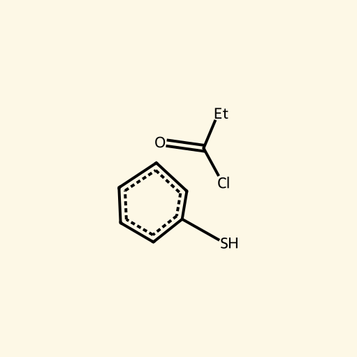 CCC(=O)Cl.Sc1ccccc1